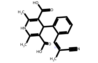 CC1=C(C(=O)O)C(c2ccccc2/C=C(/C)C#N)C(C(=O)O)=C(C)N1